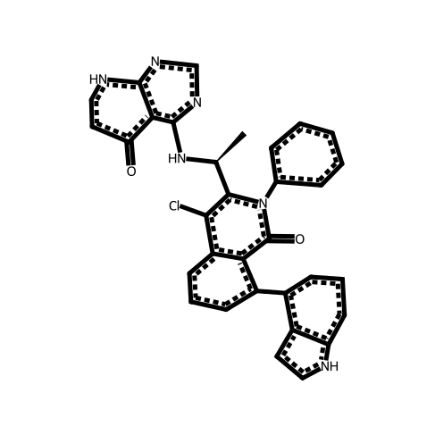 C[C@H](Nc1ncnc2[nH]ccc(=O)c12)c1c(Cl)c2cccc(-c3cccc4[nH]ccc34)c2c(=O)n1-c1ccccc1